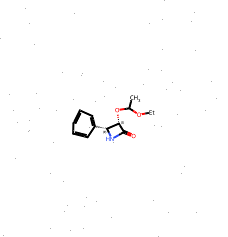 CCOC(C)O[C@@H]1C(=O)N[C@@H]1c1ccccc1